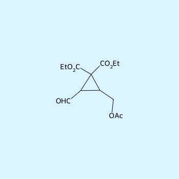 CCOC(=O)C1(C(=O)OCC)C(C=O)C1COC(C)=O